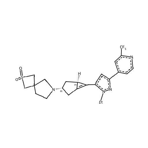 CCn1nc(-c2ccnc(C(F)(F)F)c2)cc1C1=C2C[C@H](N3CCC4(C3)CS(=O)(=O)C4)C[C@H]21